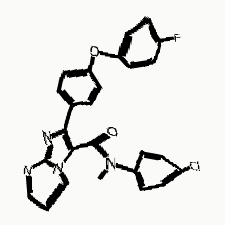 CN(C(=O)c1c(-c2ccc(Oc3ccc(F)cc3)cc2)nc2ncccn12)c1ccc(Cl)cc1